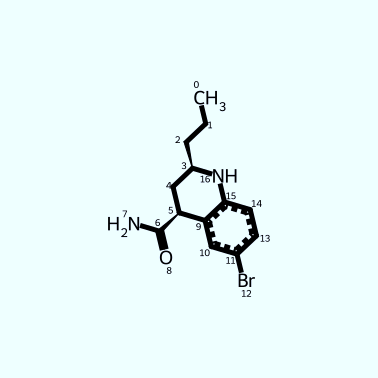 CCC[C@@H]1C[C@H](C(N)=O)c2cc(Br)ccc2N1